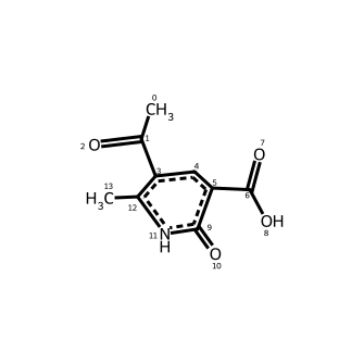 CC(=O)c1cc(C(=O)O)c(=O)[nH]c1C